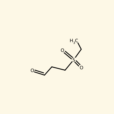 CCS(=O)(=O)CCC=O